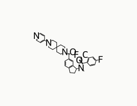 CN(C(=O)c1ccc(F)cc1C(F)(F)F)C1CCc2ccc(C(=O)N3CCC4(CC3)CCN(c3ccncc3)CC4)cc21